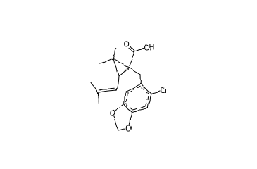 CC(C)=CC1C(C)(C)C1(Cc1cc2c(cc1Cl)OCO2)C(=O)O